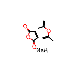 C=C(C)OC(=C)C.O=C1C=CC(=O)O1.[NaH]